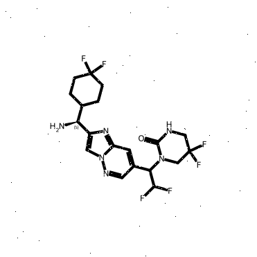 N[C@H](c1cn2ncc(C(C(F)F)N3CC(F)(F)CNC3=O)cc2n1)C1CCC(F)(F)CC1